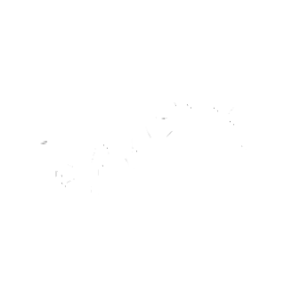 C#CCc1[nH]nc(C(F)(F)F)c1-c1cnc(C(=O)NCc2ccc(C(=O)N3CCN(C(=O)N4CCNCC4)CC3)c(Cl)c2)[nH]1